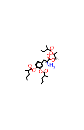 CCCC(C)C(=O)Oc1ccc(C[C@H](N)C(=O)O[C@@H](C)C(C)OC(=O)C(C)CC)cc1OC(=O)C(C)CCC